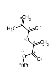 C=C(C)C(=O)OC(=C)C(=O)OCCC